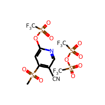 CS(=O)(=O)c1cc(OS(=O)(=O)C(F)(F)F)ncc1C#N.O=S(=O)(OS(=O)(=O)C(F)(F)F)C(F)(F)F